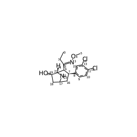 CCC(=NOC)[C@H]1[C@@H](c2ccc(Cl)c(Cl)c2)CC2CC(O)[C@H]1N2C